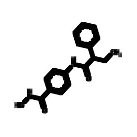 CCC(C(=O)Nc1ccc(C(=O)NO)cc1)c1ccccc1